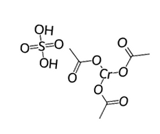 CC(=O)[O][Cr]([O]C(C)=O)[O]C(C)=O.O=S(=O)(O)O